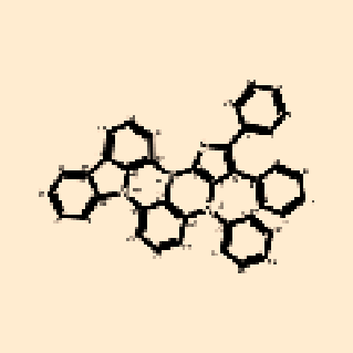 c1ccc(-c2sc3c(c2-c2ccccc2)N(c2ccccc2)c2cccc4c2B3c2cccc3c5ccccc5n-4c23)cc1